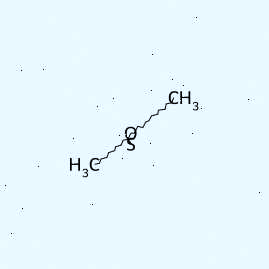 CCCCCCCCCCCCOC(=S)CCCCCCCCC